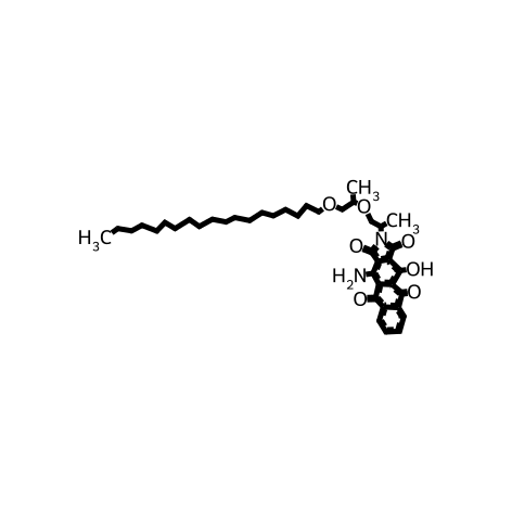 CCCCCCCCCCCCCCCCCCCOCC(C)OCC(C)n1c(=O)c2c(N)c3c(=O)c4ccccc4c(=O)c3c(O)c2c1=O